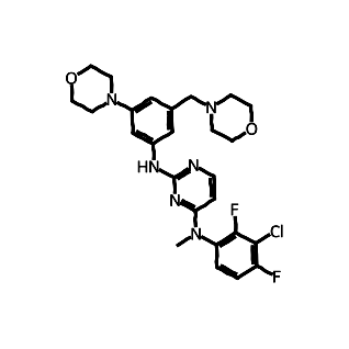 CN(c1ccnc(Nc2cc(CN3CCOCC3)cc(N3CCOCC3)c2)n1)c1ccc(F)c(Cl)c1F